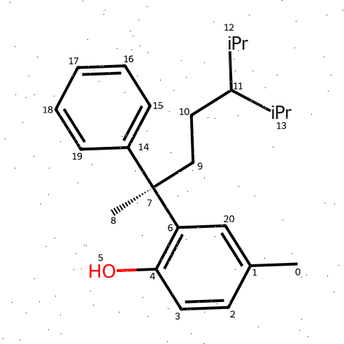 Cc1ccc(O)c([C@](C)(CCC(C(C)C)C(C)C)c2ccccc2)c1